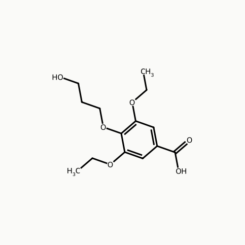 CCOc1cc(C(=O)O)cc(OCC)c1OCCCO